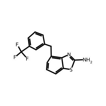 Nc1nc2c(Cc3cccc(C(F)(F)F)c3)cccc2s1